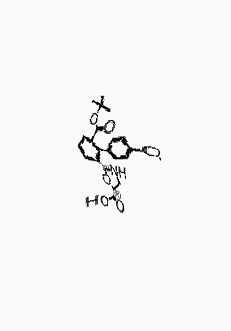 COc1ccc(-c2c(C(=O)OC(C)(C)C)cccc2[C@@H]2NC[C@H](C(=O)O)O2)cc1